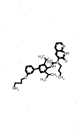 CCCCN(C(=O)Nc1c(C(C)C)cc(-c2cccc(OCCCN)c2)cc1C(C)C)c1cc2cccnc2[nH]c1=O